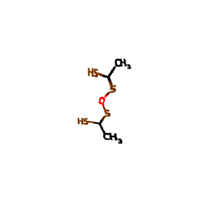 CC(S)SOSC(C)S